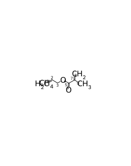 C.C=CCOC(=O)C(=C)C